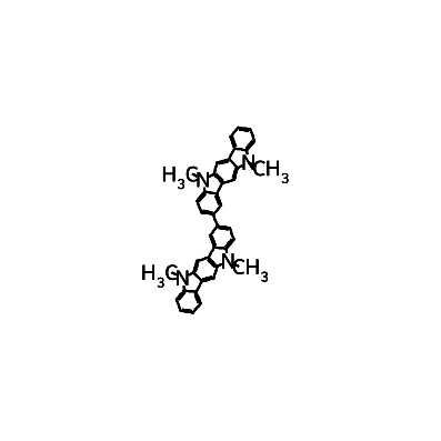 Cn1c2ccccc2c2cc3c(cc21)c1cc(-c2ccc4c(c2)c2cc5c(cc2n4C)c2ccccc2n5C)ccc1n3C